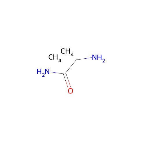 C.C.NCC(N)=O